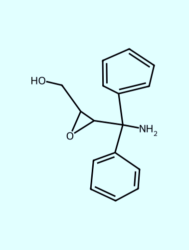 NC(c1ccccc1)(c1ccccc1)C1OC1CO